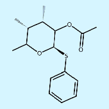 CC(=O)OC1[C@@H](Sc2ccccc2)OC(C)[C@H](C)[C@@H]1C